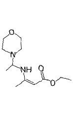 CCOC(=O)/C=C(/C)NC(C)N1CCOCC1